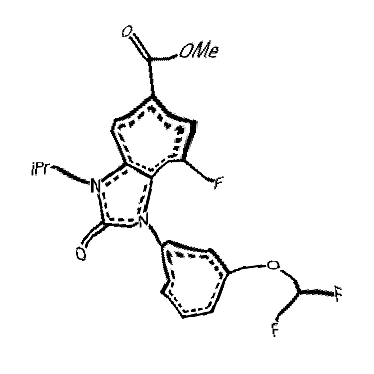 COC(=O)c1cc(F)c2c(c1)n(C(C)C)c(=O)n2-c1cccc(OC(F)F)c1